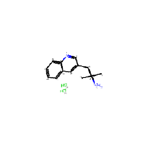 CC(C)(N)Cc1cnc2ccccc2c1.Cl.Cl